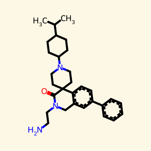 CC(C)C1CCC(N2CCC3(CC2)C(=O)N(CCN)Cc2cc(-c4ccccc4)ccc23)CC1